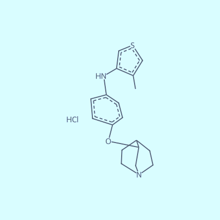 Cc1cscc1Nc1ccc(OC2CN3CCC2CC3)cc1.Cl